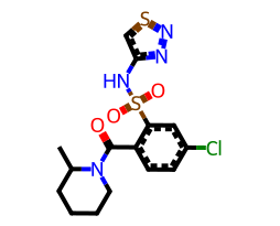 CC1CCCCN1C(=O)c1ccc(Cl)cc1S(=O)(=O)Nc1csnn1